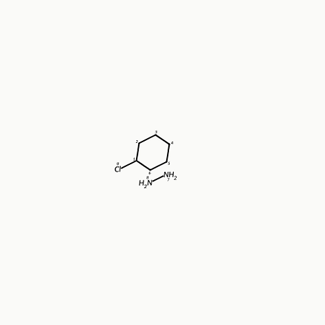 ClC1CCCCC1.NN